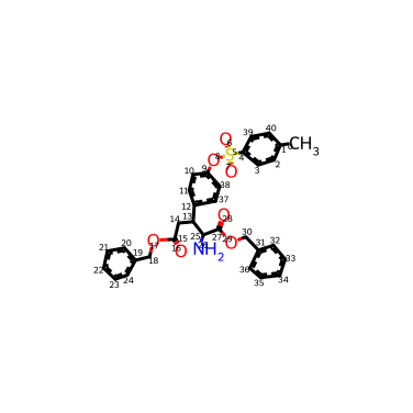 Cc1ccc(S(=O)(=O)Oc2ccc(C(CC(=O)OCc3ccccc3)C(N)C(=O)OCc3ccccc3)cc2)cc1